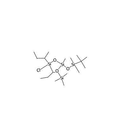 CCC(C)[Si](Cl)(O[Si](C)(O[Si](C)(C)C)O[Si](C)(C)C(C)(C)C)C(C)CC